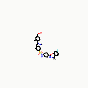 Cc1cc(CO)ccc1-c1cc2ccc(S(=O)(=O)N[C@H]3CC[C@H](C(=O)N[C@H](C)c4ccc(F)cc4)CC3)cc2n1C